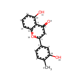 Cc1ccc(-c2cc(=O)c3c(O)cccc3o2)cc1O